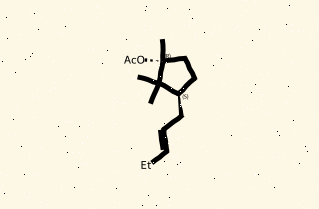 CCC=CC[C@@H]1CC[C@@](C)(OC(C)=O)C1(C)C